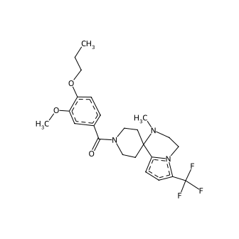 CCCOc1ccc(C(=O)N2CCC3(CC2)c2ccc(C(F)(F)F)n2CCN3C)cc1OC